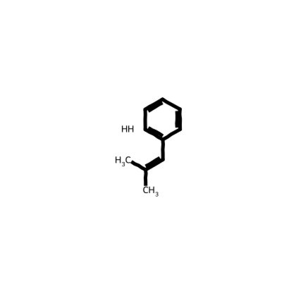 CC(C)=Cc1ccccc1.[HH]